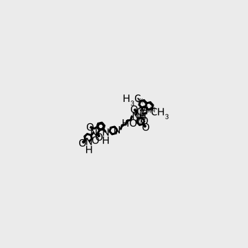 C[C@H]1C=C2C=C[C@H](C)[C@H](CC[C@@H]3C[C@@H](O)CC(=O)O3)[C@H]2[C@@H](OC(=O)NCCCCCCN2CCC(Nc3cccc4c3C(=O)N(C3CCC(=O)NC3=O)C4=O)CC2)C1